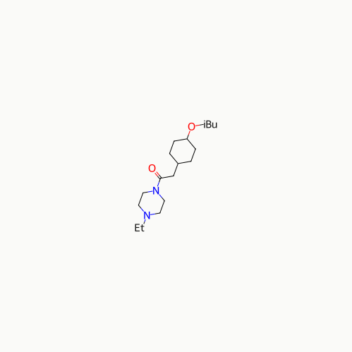 CCC(C)OC1CCC(CC(=O)N2CCN(CC)CC2)CC1